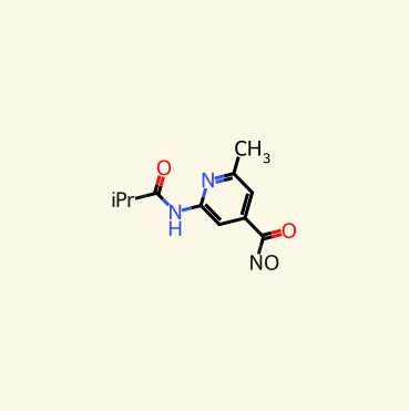 Cc1cc(C(=O)N=O)cc(NC(=O)C(C)C)n1